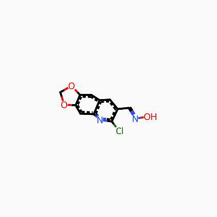 ON=Cc1cc2cc3c(cc2nc1Cl)OCO3